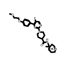 COCCOc1ccc(-c2nc(N3CCC(C(=O)NC4(C)CCN5CCC4CC5)CC3)ncc2F)cc1